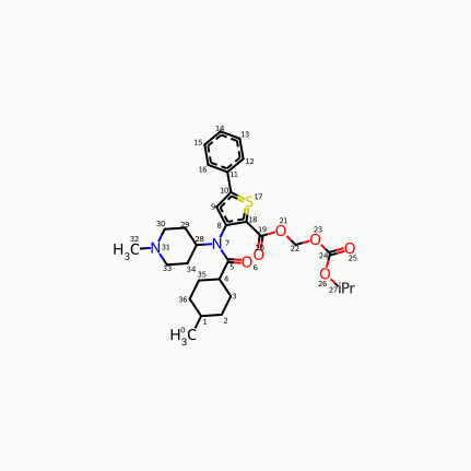 CC1CCC(C(=O)N(c2cc(-c3ccccc3)sc2C(=O)OCOC(=O)OC(C)C)C2CCN(C)CC2)CC1